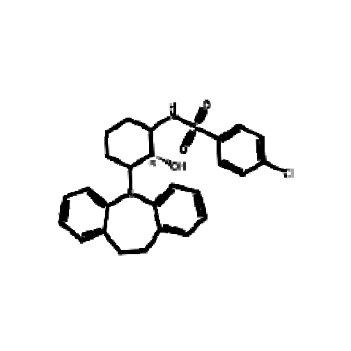 O=S(=O)(NC1CCCC(N2c3ccccc3CCc3ccccc32)[C@H]1O)c1ccc(Cl)cc1